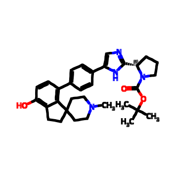 CN1CCC2(CCc3c(O)ccc(-c4ccc(-c5cnc([C@@H]6CCCN6C(=O)OC(C)(C)C)[nH]5)cc4)c32)CC1